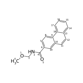 COCNC(=O)c1ccc2c(ccc3ccccc32)c1